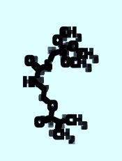 C=C(C)C(=O)OCCNC(=O)SC[Si](OC)(OC)OC